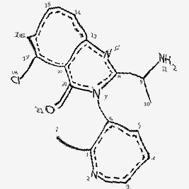 Cc1ncccc1-n1c(C(C)N)nc2cccc(Cl)c2c1=O